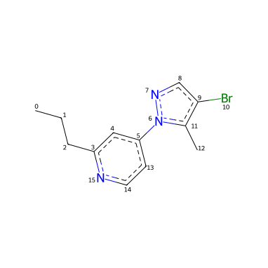 CCCc1cc(-n2ncc(Br)c2C)ccn1